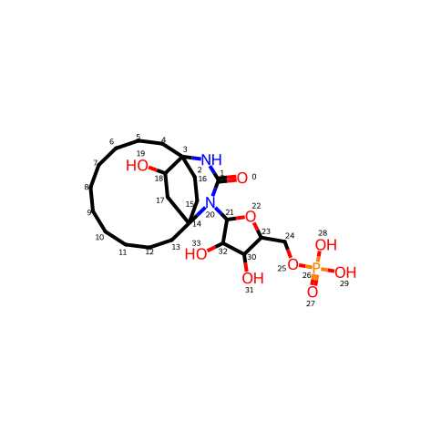 O=C1NC23CCCCCCCCCCC(CC2)(CC3O)N1C1OC(COP(=O)(O)O)C(O)C1O